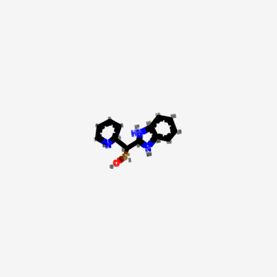 O=[S+]C(c1ccccn1)c1nc2ccccc2[nH]1